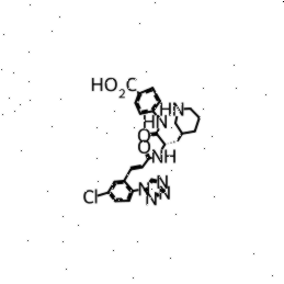 O=C(/C=C/c1cc(Cl)ccc1-n1cnnn1)N[C@@H](CC1CCCNC1)C(=O)Nc1ccc(C(=O)O)cc1